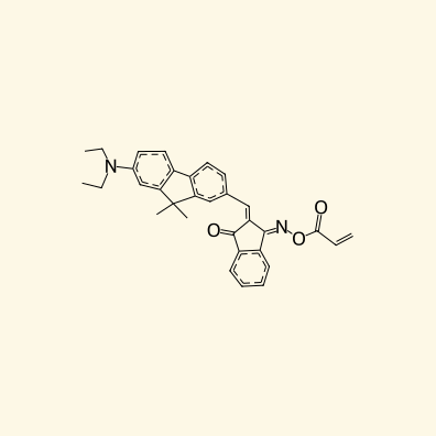 C=CC(=O)ON=C1C(=Cc2ccc3c(c2)C(C)(C)c2cc(N(CC)CC)ccc2-3)C(=O)c2ccccc21